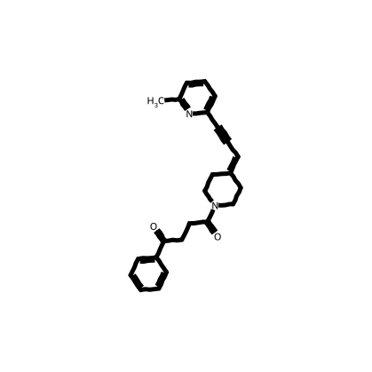 Cc1cccc(C#CC=C2CCN(C(=O)CCC(=O)c3ccccc3)CC2)n1